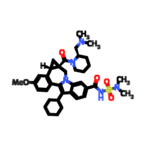 COc1ccc2c(c1)[C@@H]1C[C@]1(C(=O)N1CCCC[C@@H]1CN(C)C)Cn1c-2c(C2CCCCC2)c2ccc(C(=O)NS(=O)(=O)N(C)C)cc21